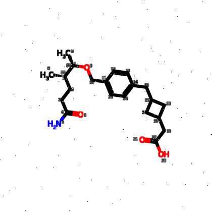 C[C@@H](CCC(N)=O)[C@@H](C)OCc1ccc(CC2CC(CC(=O)O)C2)cc1